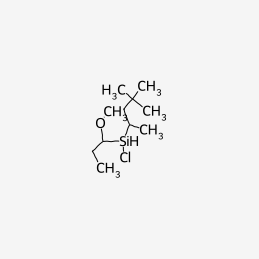 CCC(OC)[SiH](Cl)C(C)CC(C)(C)C